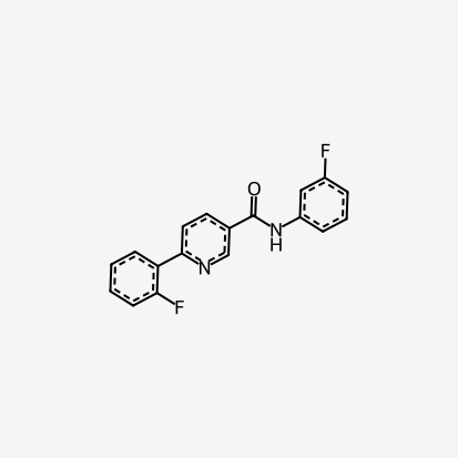 O=C(Nc1cccc(F)c1)c1ccc(-c2ccccc2F)nc1